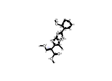 CO/C=C(/C(=O)OC)c1sc2nc(-c3ccccc3OC)nn2c1C